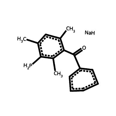 Cc1cc(C)c(C(=O)c2ccccc2)c(C)c1P.[NaH]